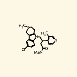 CNC(=O)CC(Cn1c2c(c3cc(Cl)ccc31)CN(C)CC2)c1ccncc1C